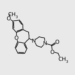 CCOC(=O)N1CCN(C2Cc3ccc(OC)cc3Oc3ccccc32)CC1